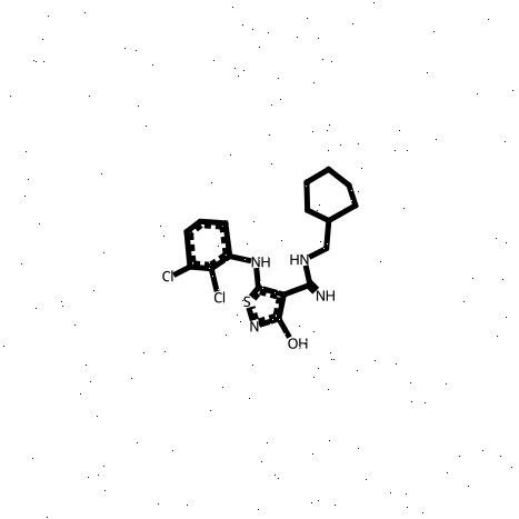 N=C(NCC1CCCCC1)c1c(O)nsc1Nc1cccc(Cl)c1Cl